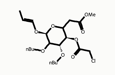 C/C=C/O[C@H]1OC(CC(=O)OC)[C@@H](OC(=O)CCl)[C@H](OCCCC)C1OCCCC